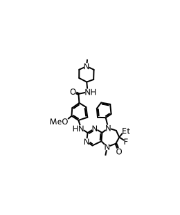 CCC1(F)CN(c2ccccc2)c2nc(Nc3ccc(C(=O)NC4CCN(C)CC4)cc3OC)ncc2N(C)C1=O